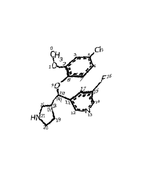 COc1cc(Cl)ccc1O[C@@H](c1cncc(F)c1)[C@H]1CCNC1